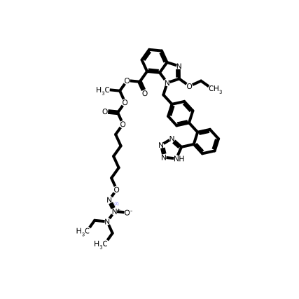 CCOc1nc2cccc(C(=O)OC(C)OC(=O)OCCCCCO/N=[N+](\[O-])N(CC)CC)c2n1Cc1ccc(-c2ccccc2-c2nnn[nH]2)cc1